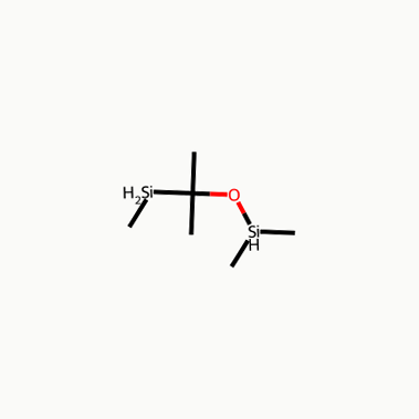 C[SiH2]C(C)(C)O[SiH](C)C